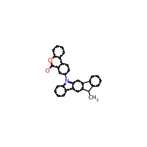 CC1c2ccccc2-c2cc3c(cc21)c1ccccc1n3-c1ccc2c(c1)c(=O)oc1ccccc12